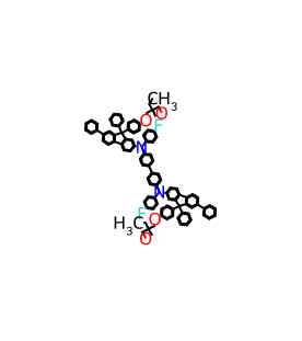 CCC1(COc2ccc(C3(c4ccccc4)c4cc(-c5ccccc5)ccc4-c4ccc(N(c5ccc(F)cc5)c5ccc(-c6ccc(N(c7ccc(F)cc7)c7ccc8c(c7)C(c7ccccc7)(c7ccc(OCC9(CC)COC9)cc7)c7cc(-c9ccccc9)ccc7-8)cc6)cc5)cc43)cc2)COC1